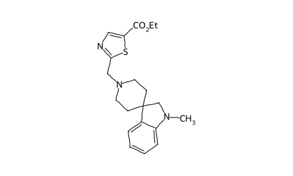 CCOC(=O)c1cnc(CN2CCC3(CC2)CN(C)c2ccccc23)s1